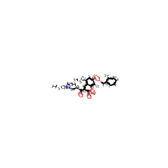 Cc1cc(OCc2ccccc2)cc2oc(=O)c(C(=O)CCN(C)C)cc12